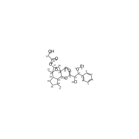 CCOC(c1ccccc1)C(Cl)C(=O)OC1C2C(C)CCC2C2(C)OC1(C(C)C)CC2OC(=O)CO